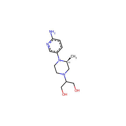 C[C@H]1CN(C(CO)CO)CCN1c1ccc(N)nc1